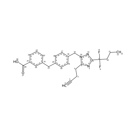 C#CCCc1nc(C(F)(F)CCC)nn1Cc1ccc(Cc2cccc(C(=O)O)c2)cc1